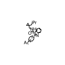 CC(=O)N1CCN(c2nc3ccccc3n2C(=O)NCC2(CC(C)C)CC2)CC1